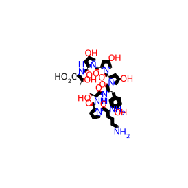 C[C@@H](O)[C@H](NC(=O)[C@@H]1C[C@@H](O)CN1C(=O)[C@@H]1C[C@@H](O)CN1C(=O)[C@@H]1C[C@@H](O)CN1C(=O)[C@H](Cc1ccc(O)cc1)NC(=O)[C@H](CO)NC(=O)[C@@H]1CCCN1C(=O)[C@@H](N)CCCCN)C(=O)O